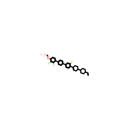 BCOc1ccc(-c2ccc(-c3ccc(C4=CCC(C5CCC(C=C)CC5)CC4)c(F)c3)cc2)c(F)c1F